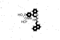 COc1cc(C(=O)O)ccc1[C@@H]1C[C@H](CNCCc2cccc3ccccc23)Oc2ccccc21.Cl